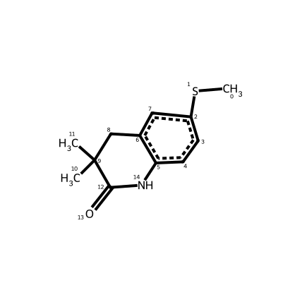 CSc1ccc2c(c1)CC(C)(C)C(=O)N2